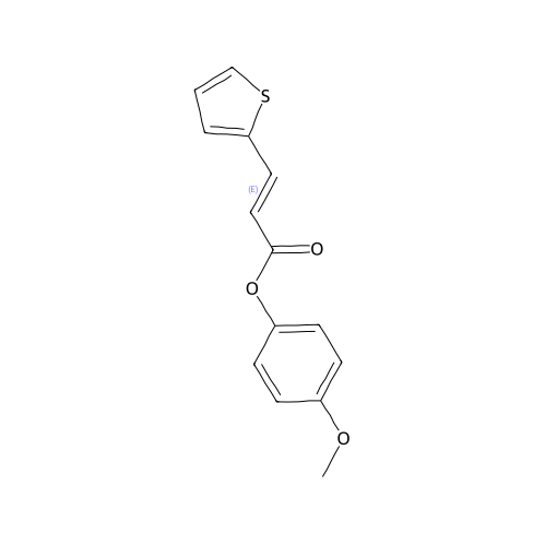 COc1ccc(OC(=O)/C=C/c2cccs2)cc1